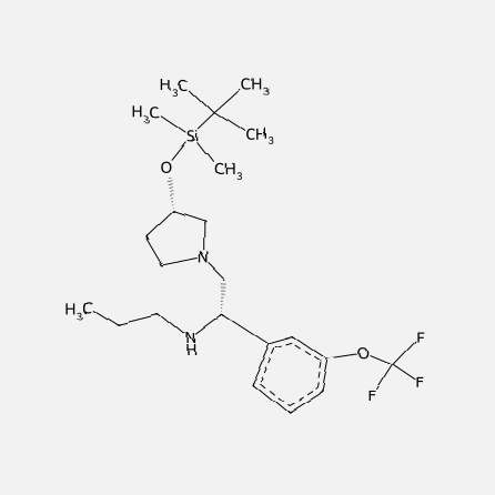 CCCN[C@H](CN1CC[C@H](O[Si](C)(C)C(C)(C)C)C1)c1cccc(OC(F)(F)F)c1